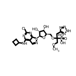 COCC(Cc1nn[nH]n1)(OC[C@H]1O[C@@H](n2ncc3c(NC4CCC4)nc(Cl)nc32)[C@H](O)[C@@H]1O)P(=O)(O)O